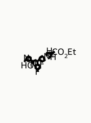 CCOC(=O)C1[C@H]2CN(c3ccc(C(CC(=NO)c4ccnc(C)c4)c4ccc(F)cc4F)cc3)C[C@@H]12